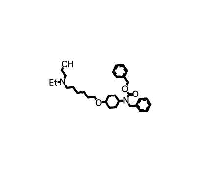 CCN(CCO)CCCCCCOC1CCC(N(Cc2ccccc2)C(=O)OCc2ccccc2)CC1